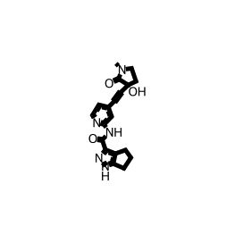 CN1CC[C@@](O)(C#Cc2ccnc(NC(=O)c3n[nH]c4c3CCC4)c2)C1=O